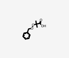 CC(C)(OOCc1ccccc1)C(=O)O